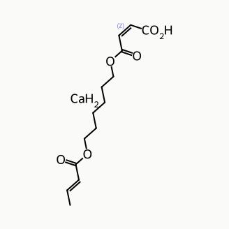 CC=CC(=O)OCCCCCCOC(=O)/C=C\C(=O)O.[CaH2]